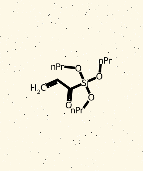 C=CC(=O)[Si](OCCC)(OCCC)OCCC